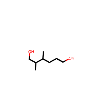 C[C](CO)C(C)CCCO